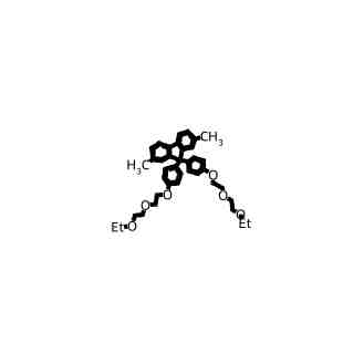 CCOCCOCCOc1ccc(C2(c3ccc(OCCOCCOCC)cc3)c3cc(C)ccc3-c3ccc(C)cc32)cc1